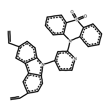 C=Cc1ccc2c(c1)c1cc(C=C)ccc1n2-c1ccnc(N2c3ccccc3S(=O)(=O)c3ccccc32)c1